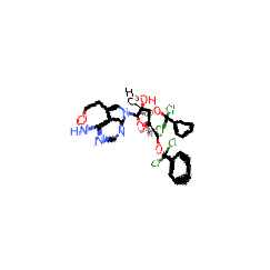 C[C@]1(O)C(n2cc3c4c(ncnc42)NOCC3)O[C@H](COC(Cl)(Cl)c2ccccc2)[C@H]1OC(Cl)(Cl)c1ccccc1